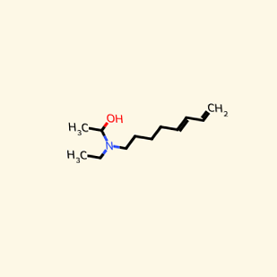 C=CC=CCCCCN(CC)C(C)O